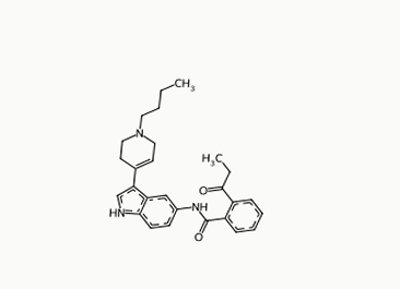 CCCCN1CC=C(c2c[nH]c3ccc(NC(=O)c4ccccc4C(=O)CC)cc23)CC1